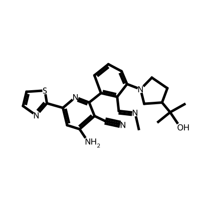 C/N=C/c1c(-c2nc(-c3nccs3)cc(N)c2C#N)cccc1N1CCC(C(C)(C)O)C1